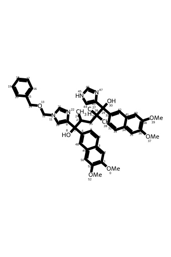 COc1cc2ccc(C(O)(c3cn(COCc4ccccc4)cn3)C(C)CC(C)(C)C(O)(c3ccc4cc(OC)c(OC)cc4c3)c3c[nH]cn3)cc2cc1OC